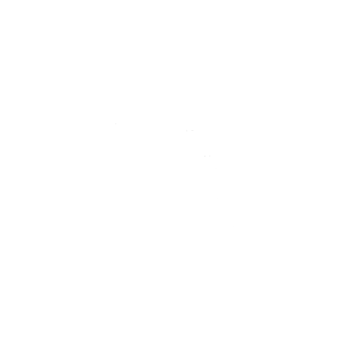 CCCCCC(O)COC(C)COC(C)CO